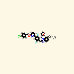 O=C(O)c1ccc2nc(Cc3cc(F)c(-c4cccc(OCc5ccc(Cl)cc5F)n4)cc3F)n(C[C@@H]3CCCO3)c2c1